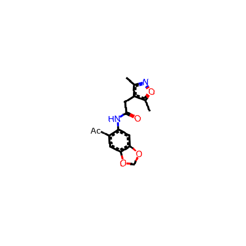 CC(=O)c1cc2c(cc1NC(=O)Cc1c(C)noc1C)OCO2